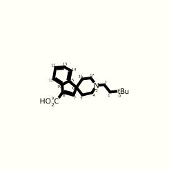 CC(C)(C)CCN1CCC2(C=C(C(=O)O)c3ccccc32)CC1